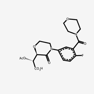 CC(=O)O[C@@H](C(=O)O)[C@H]1OCCN(c2ccc(F)c(C(=O)N3CCOCC3)c2)C1=O